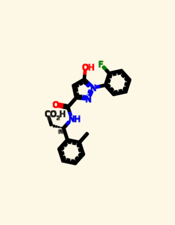 Cc1ccccc1[C@H](CC(=O)O)NC(=O)c1cc(O)n(-c2ccccc2F)n1